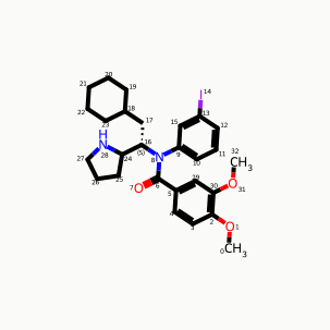 COc1ccc(C(=O)N(c2cccc(I)c2)[C@@H](CC2CCCCC2)C2CCCN2)cc1OC